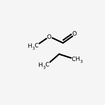 CCC.COC=O